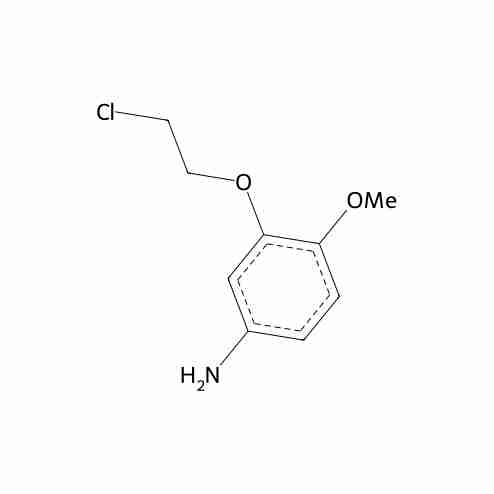 COc1ccc(N)cc1OCCCl